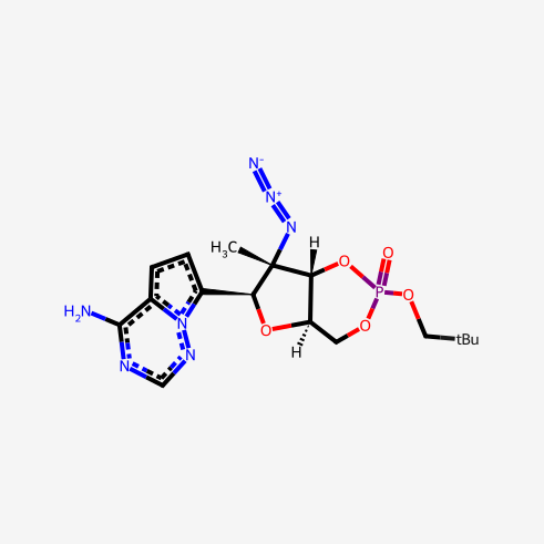 CC(C)(C)COP1(=O)OC[C@H]2O[C@@H](c3ccc4c(N)ncnn34)[C@](C)(N=[N+]=[N-])[C@@H]2O1